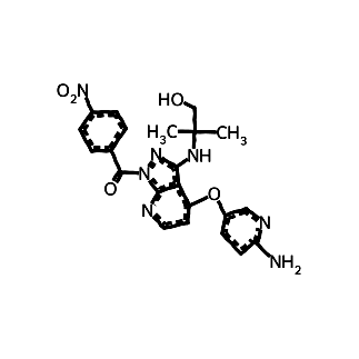 CC(C)(CO)Nc1nn(C(=O)c2ccc([N+](=O)[O-])cc2)c2nccc(Oc3ccc(N)nc3)c12